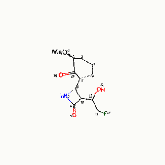 CO[C@H]1CCC[C@H]([C@H]2NC(=O)C2C(O)CF)C1=O